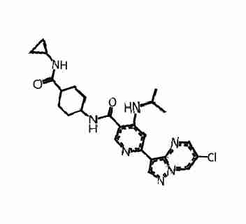 CC(C)Nc1cc(-c2cnn3cc(Cl)cnc23)ncc1C(=O)NC1CCC(C(=O)NC2CC2)CC1